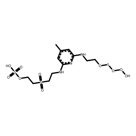 Cc1cc(NCCOSOOO)nc(NCCS(=O)(=O)CCOS(=O)(=O)O)c1